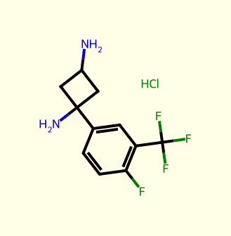 Cl.NC1CC(N)(c2ccc(F)c(C(F)(F)F)c2)C1